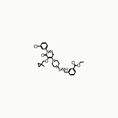 CCOC(=O)c1cccc(CNSN2CCN(c3cnn(-c4cccc(Cl)c4)c(=O)c3OCC3(C)CC3)CC2)c1